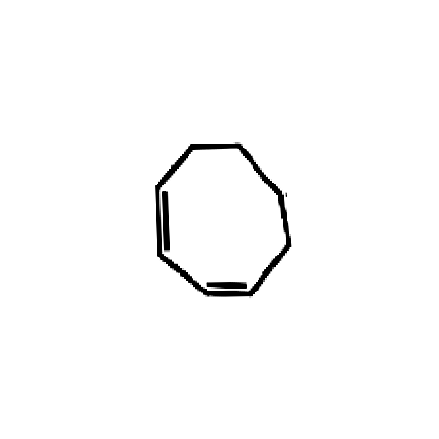 [CH]1CC=CC=CCC1